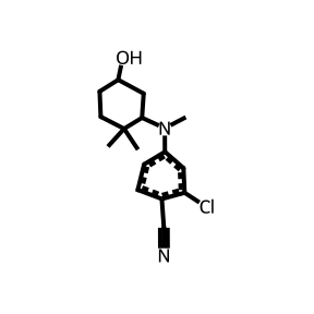 CN(c1ccc(C#N)c(Cl)c1)C1CC(O)CCC1(C)C